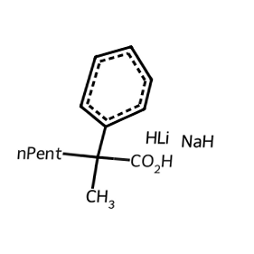 CCCCCC(C)(C(=O)O)c1ccccc1.[LiH].[NaH]